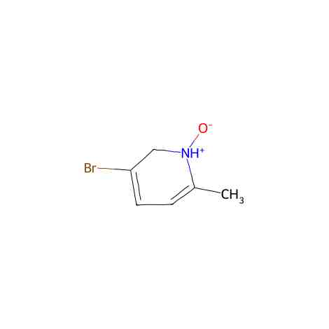 CC1=CC=C(Br)C[NH+]1[O-]